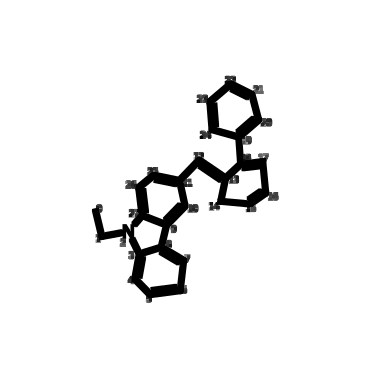 CCn1c2ccccc2c2cc(C=C3CC=CC=C3c3ccccc3)ccc21